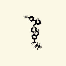 O=C(OC(=O)C(F)(F)F)c1ccc2c(c1)CC[C@@H]1CN(Cc3cccnc3-c3ccc(O)nc3)CCN21